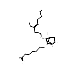 CCCCC=C(CC)CCO[C@H]1[C@H]2CC[C@H](C2)[C@H]1CCCCCCC(=O)O